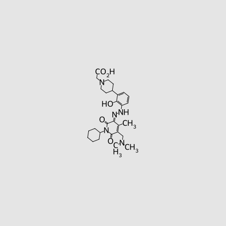 CC1=C(CN(C)C)C(=O)N(C2CCCCC2)C(=O)C1=NNc1cccc(C2CCN(CC(=O)O)CC2)c1O